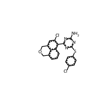 Nc1nc(Sc2ccc(Cl)cc2)nc(-c2c(Cl)cc3c4c(cccc24)COC3)n1